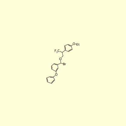 CCOc1ccc(C(COC(Br)c2cccc(Oc3ccccc3)c2)C(F)(F)F)cc1